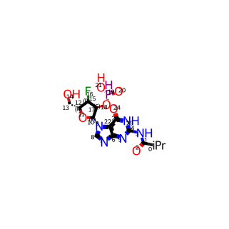 CC(C)C(=O)Nc1nc2ncn([C@@H]3O[C@H](CO)[C@@H](F)[C@H]3O[PH](=O)O)c2c(=O)[nH]1